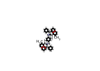 Cc1cccc(C)c1N/C(=N\c1ccc(/N=C(\Nc2c(C)cccc2C)P(c2ccccc2)c2ccccc2)cc1)P(c1ccccc1)c1ccccc1